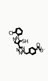 O=[N+]([O-])c1ccc(Cn2nnc(-c3cnn(-c4ccccc4Cl)c3S)n2)cc1